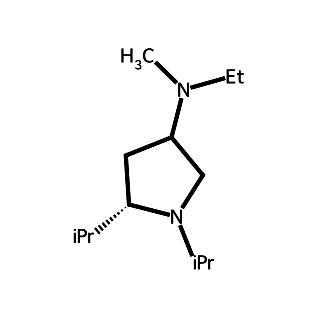 CCN(C)C1C[C@@H](C(C)C)N(C(C)C)C1